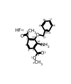 COC(=O)c1ccc(C(C)=O)c(OCc2ccccc2)c1N.F